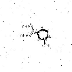 CCCCCCN(CCCCCC)c1ccnc(C)c1